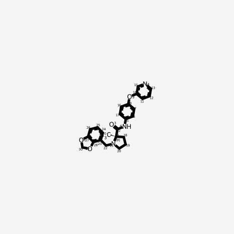 C[C@]1(C(=O)Nc2ccc(Oc3cccnc3)cc2)CCCN1Cc1cccc2c1OCO2